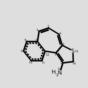 NC1=C2C(=CC=Cc3ccccc32)SC1